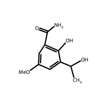 COc1cc(C(N)=O)c(O)c(C(C)O)c1